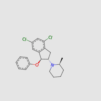 C[C@H]1CCCCN1[C@H]1Cc2c(Cl)cc(Cl)cc2[C@@H]1Oc1ccccc1